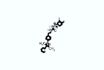 Cc1nn(-c2ccc(CCNC(=O)NS(=O)(=O)c3ccc(F)c(F)c3)cc2)c(C)c1-c1ccccc1